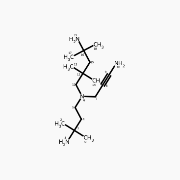 CC(C)(N)CCN(CC#CN)CC(C)(C)CC(C)(C)N